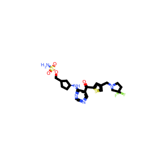 NS(=O)(=O)OCC1CC[C@H](Nc2ncncc2C(=O)c2cc(CN3CCC(F)(F)C3)cs2)C1